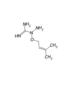 CC(C)=CCON(N)C(=N)N